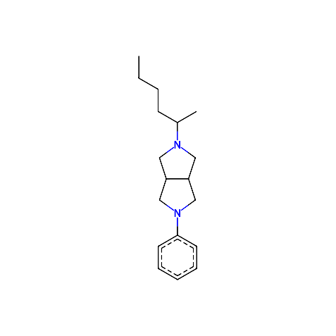 CCCCC(C)N1CC2CN(c3ccccc3)CC2C1